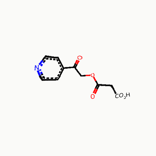 O=C(O)CC(=O)OCC(=O)c1ccncc1